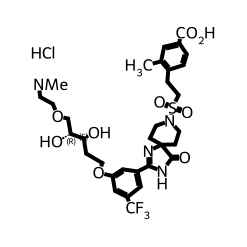 CNCCOC[C@@H](O)[C@@H](O)CCOc1cc(C2=NC3(CCN(S(=O)(=O)CCc4ccc(C(=O)O)cc4C)CC3)C(=O)N2)cc(C(F)(F)F)c1.Cl